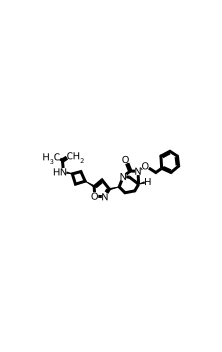 C=C(C)N[C@H]1C[C@@H](c2cc([C@@H]3CC[C@@H]4CN3C(=O)N4OCc3ccccc3)no2)C1